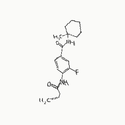 C=CC(=O)Nc1ccc(C(=O)NC2(C)CCCCC2)cc1F